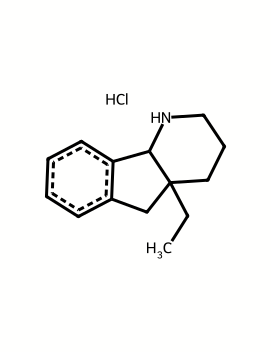 CCC12CCCNC1c1ccccc1C2.Cl